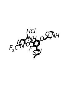 Cc1cnc(-c2cc(OCC3CNCCO3)cc(C(=O)N[C@H](C)c3cnc(C(F)(F)F)nc3)c2F)s1.Cl